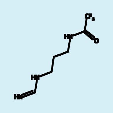 N=CNCCCNC(=O)C(F)(F)F